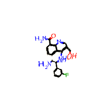 NC[C@@H](Nc1c(CO)cnc2c(C(N)=O)cccc12)c1cccc(F)c1